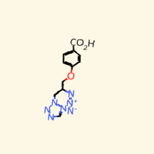 [N-]=[N+]=NC(COc1ccc(C(=O)O)cc1)Cn1ncnn1